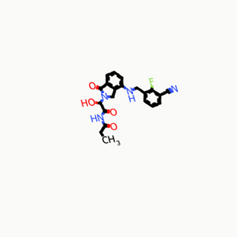 CCC(=O)NC(=O)C(O)N1Cc2c(NCc3cccc(C#N)c3F)cccc2C1=O